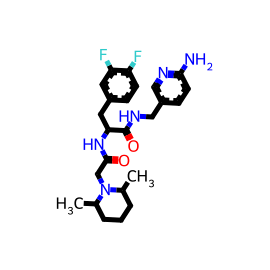 CC1CCCC(C)N1CC(=O)NC(Cc1ccc(F)c(F)c1)C(=O)NCc1ccc(N)nc1